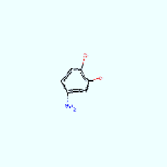 Nc1ccc([O])c([O])c1